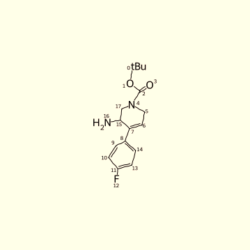 CC(C)(C)OC(=O)N1CC=C(c2ccc(F)cc2)C(N)C1